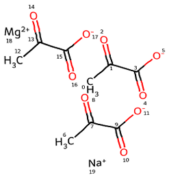 CC(=O)C(=O)[O-].CC(=O)C(=O)[O-].CC(=O)C(=O)[O-].[Mg+2].[Na+]